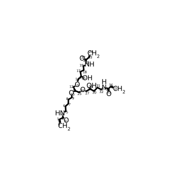 C=CC(=O)NCCCCCOC(COCC(O)CCCNC(=O)C=C)COCC(O)CCCNC(=O)C=C